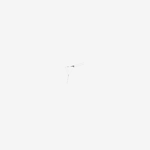 C=C1C=C1I